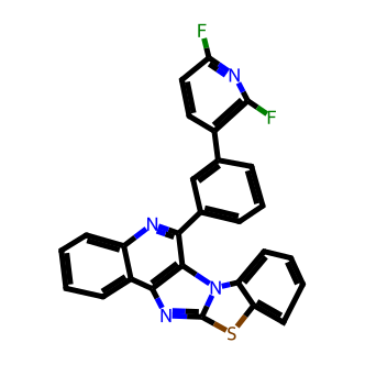 Fc1ccc(-c2cccc(-c3nc4ccccc4c4nc5sc6ccccc6n5c34)c2)c(F)n1